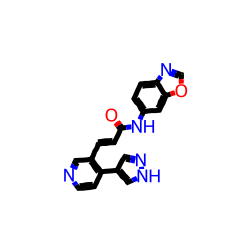 O=C(/C=C/c1cnccc1-c1cn[nH]c1)Nc1ccc2ncoc2c1